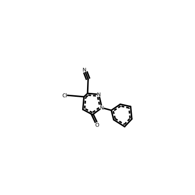 N#Cc1nn(-c2ccccc2)c(=O)cc1Cl